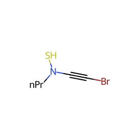 CCCN(S)C#CBr